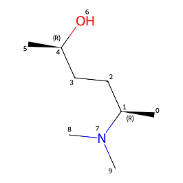 C[C@H](CC[C@@H](C)O)N(C)C